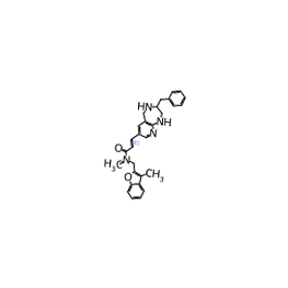 Cc1c(CN(C)C(=O)/C=C/c2cnc3c(c2)CNC(Cc2ccccc2)CN3)oc2ccccc12